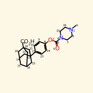 CN1CCN(C(=O)Oc2ccc(C34CC5CC(CC(C(=O)O)(C5)C3)C4)cc2)CC1